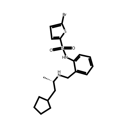 C[C@@H](CC1CCCC1)NCc1ccccc1NS(=O)(=O)c1ccc(Br)s1